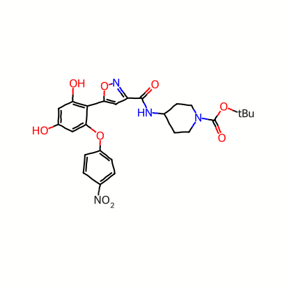 CC(C)(C)OC(=O)N1CCC(NC(=O)c2cc(-c3c(O)cc(O)cc3Oc3ccc([N+](=O)[O-])cc3)on2)CC1